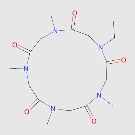 CCN1CC(=O)N(C)CC(=O)N(C)CC(=O)N(C)CC(=O)N(C)CC1=O